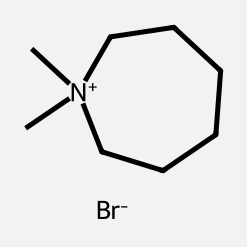 C[N+]1(C)CCCCCC1.[Br-]